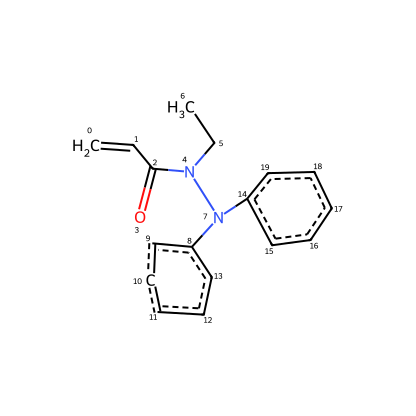 C=CC(=O)N(CC)N(c1ccccc1)c1ccccc1